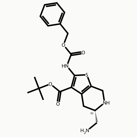 CC(C)(C)OC(=O)c1c(NC(=O)OCc2ccccc2)sc2c1C[C@@H](CN)NC2